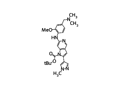 COc1cc(CN(C)C)ccc1Nc1cc2c(cn1)cc(-c1cnn(C)c1)n2C(=O)OC(C)(C)C